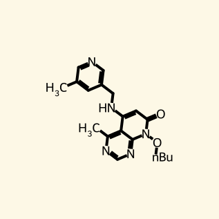 CCCCOn1c(=O)cc(NCc2cncc(C)c2)c2c(C)ncnc21